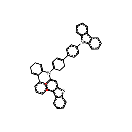 C1=C(c2ccc(-n3c4ccccc4c4ccccc43)cc2)CCC(N(C2=CCCC=C2c2ccccc2)c2ccc3c(c2)sc2ccccc23)=C1